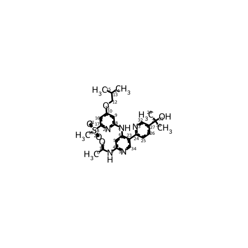 CC(=O)Nc1cc(Nc2cc(OCC(C)C)cc(S(C)(=O)=O)n2)c(-c2ccc(C(C)(C)O)cn2)cn1